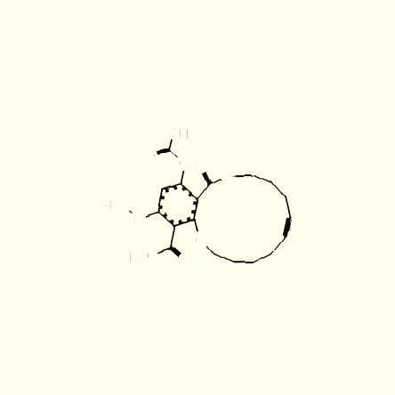 COc1cc(OC(C)=O)c2c(c1C(C)=O)OCCCC/C=C\CCCOC2=O